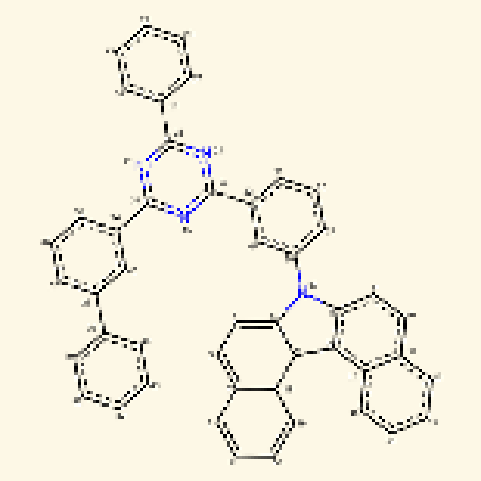 C1=CC2=CC=C3C(c4c(ccc5ccccc45)N3c3cccc(-c4nc(-c5ccccc5)nc(-c5cccc(-c6ccccc6)c5)n4)c3)C2C=C1